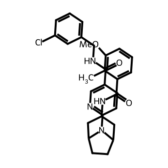 COc1cccc(C(=O)NC2CC3CCC(C2)N3c2ccc(C(=O)NCc3cccc(Cl)c3)cn2)c1C